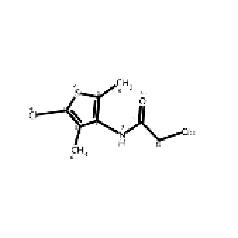 Cc1sc(Cl)c(C)c1NC(=O)CCl